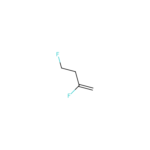 C=C(F)CCF